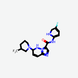 O=C(NC1=CC=C(F)CN1)c1cnc2n1NC(N1CCCC(C(F)(F)F)C1)C=C2